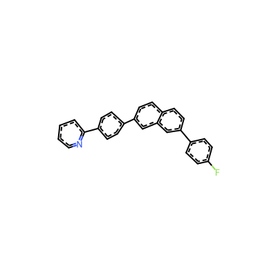 Fc1ccc(-c2ccc3ccc(-c4ccc(-c5ccccn5)cc4)cc3c2)cc1